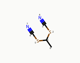 CC(SC#N)SC#N